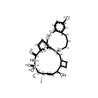 C[C@H]1/C=C/C(O)C2CCC2CN2CCCCc3cc(Cl)ccc3COc3ccc(cc32)C(=O)NS(=O)(=O)[C@H]1C